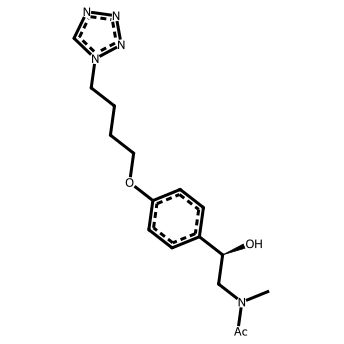 CC(=O)N(C)C[C@H](O)c1ccc(OCCCCn2cnnn2)cc1